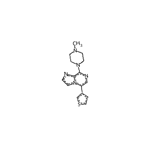 CN1CCN(c2ncc(-c3ccsc3)n3ccnc23)CC1